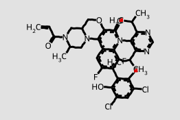 C=CC(=O)N1CC2COc3c(c4cc(F)c(-c5c(O)c(Cl)cc(Cl)c5F)c(F)c4n(-c4c(C(C)C)ncnc4C(C)C)c3=O)N2CC1C